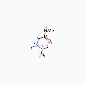 CNC(=O)CN(C)N(C)C(C)C